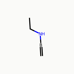 C=BNCC